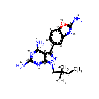 CCC(C)(C)Cn1nc(-c2ccc3oc(N)nc3c2)c2c(N)nc(N)nc21